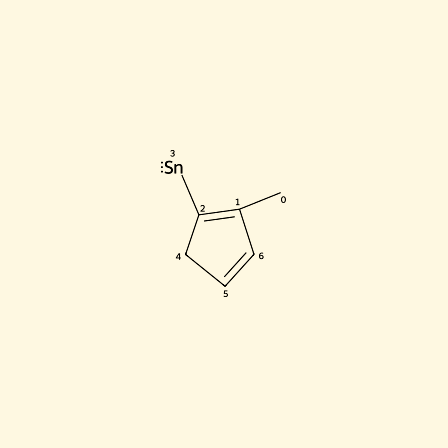 CC1=[C]([Sn])CC=C1